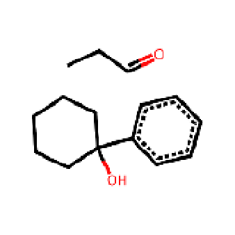 CCC=O.OC1(c2ccccc2)CCCCC1